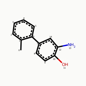 Cc1ccccc1-c1ccc(O)c(N)c1